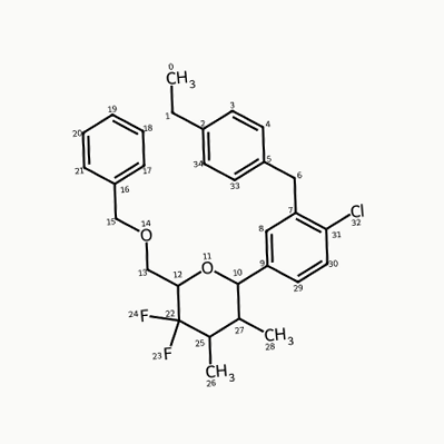 CCc1ccc(Cc2cc(C3OC(COCc4ccccc4)C(F)(F)C(C)C3C)ccc2Cl)cc1